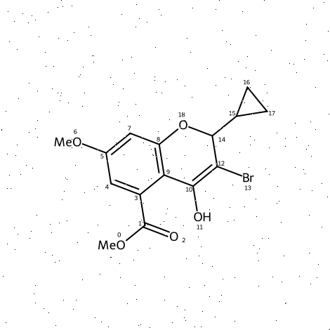 COC(=O)c1cc(OC)cc2c1C(O)=C(Br)C(C1CC1)O2